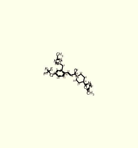 Cc1nnn(Cc2cc(OC(F)(F)F)ccc2C=CC(=O)N2CCC(c3nnc(C)o3)CC2)n1